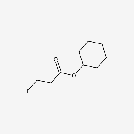 O=C(CCI)OC1CCCCC1